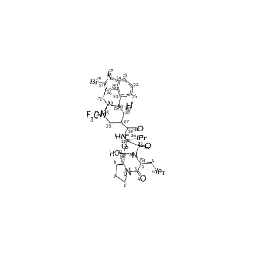 CC(C)C[C@H]1C(=O)N2CCCC2[C@]2(O)O[C@](NC(=O)C3C[C@@H]4c5cccc6c5c(c(Br)n6C)CC4N(C(F)(F)F)C3)(C(C)C)C(=O)N12